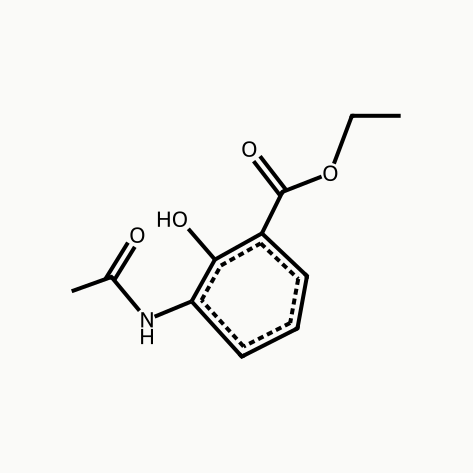 CCOC(=O)c1cccc(NC(C)=O)c1O